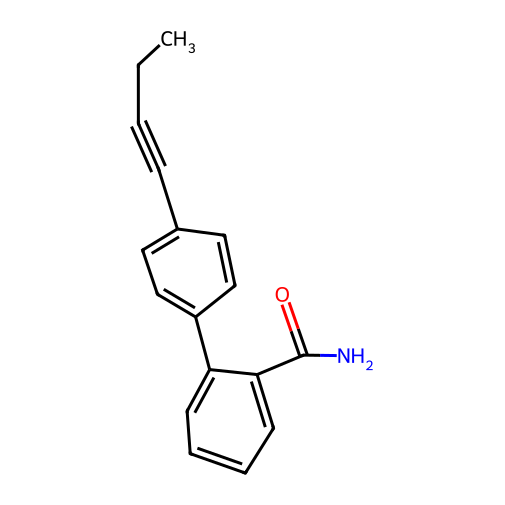 CCC#Cc1ccc(-c2ccccc2C(N)=O)cc1